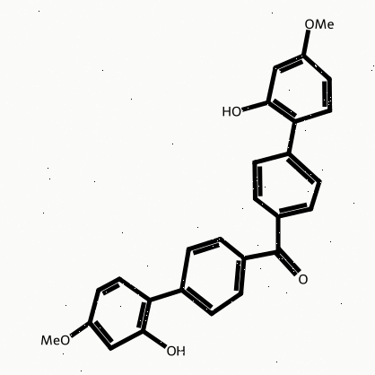 COc1ccc(-c2ccc(C(=O)c3ccc(-c4ccc(OC)cc4O)cc3)cc2)c(O)c1